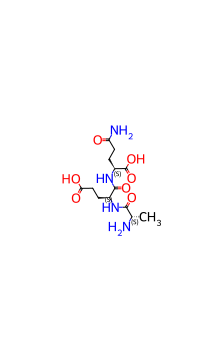 C[C@H](N)C(=O)N[C@@H](CCC(=O)O)C(=O)N[C@@H](CCC(N)=O)C(=O)O